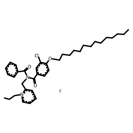 CCCCCCCCCCCCCCOc1ccc(C(=O)N(Cc2cccc[n+]2CCC)C(=O)c2ccccc2)cc1Cl.[I-]